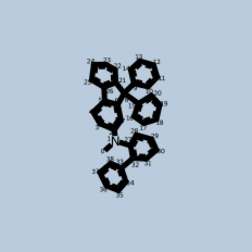 CN(c1ccc2c(c1)C(c1ccccc1)(c1ccccc1)c1ccccc1-2)c1ccccc1-c1ccccc1